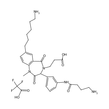 CN1C(=O)C(c2cccc(NC(=O)CCCN)c2)N(CCC(=O)O)C(=O)c2cc(CCCCCCN)ccc21.O=C(O)C(F)(F)F